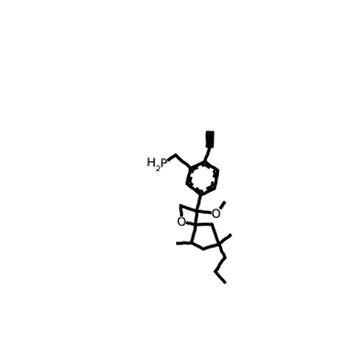 C#Cc1ccc(C2(OC)COC23CC(C)(CCC)CC3C)cc1CP